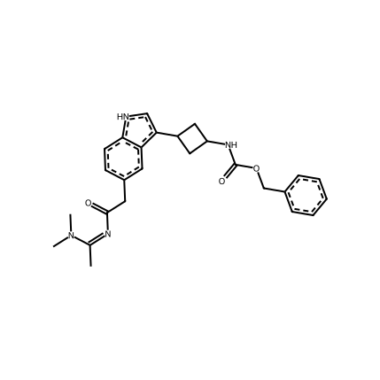 CC(=NC(=O)Cc1ccc2[nH]cc(C3CC(NC(=O)OCc4ccccc4)C3)c2c1)N(C)C